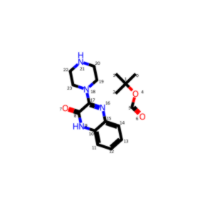 CC(C)(C)OC=O.O=c1[nH]c2ccccc2nc1N1CCNCC1